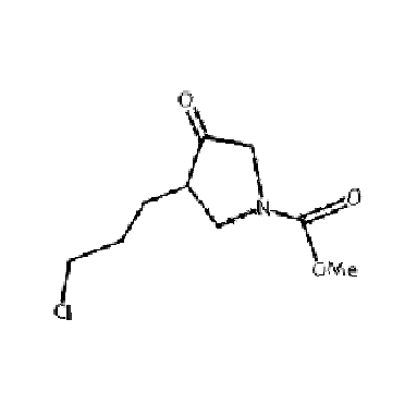 COC(=O)N1CC(=O)C(CCCCl)C1